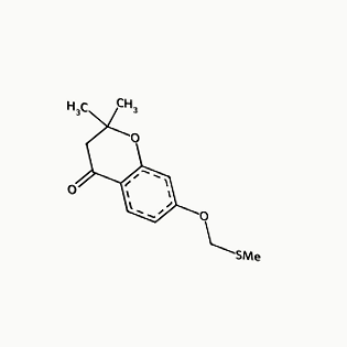 CSCOc1ccc2c(c1)OC(C)(C)CC2=O